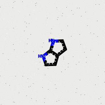 [c]1cc2cc[nH]c2[nH]1